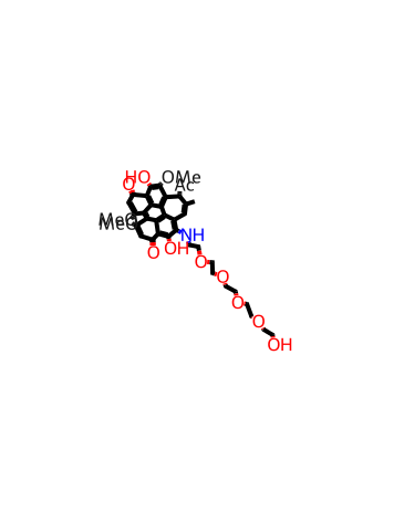 COc1c(O)c2c(=O)cc(OC)c3c4c(OC)cc(=O)c5c(O)c(NCCOCCOCCOCCOCCO)c6c(c(c1C(C(C)=O)C(C)=C6)c23)c54